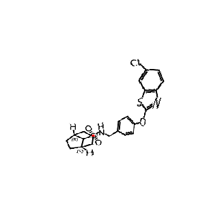 CS(=O)(=O)C1[C@@H]2CC[C@H]1C[C@@H](NCc1ccc(Oc3nc4ccc(Cl)cc4s3)cc1)C2